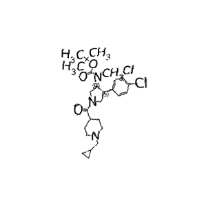 CN(C(=O)OC(C)(C)C)[C@H]1CN(C(=O)C2CCN(CC3CC3)CC2)C[C@@H]1c1ccc(Cl)c(Cl)c1